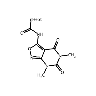 CCCCCCCC(=O)Nc1onc2c1c(=O)n(C)c(=O)n2C